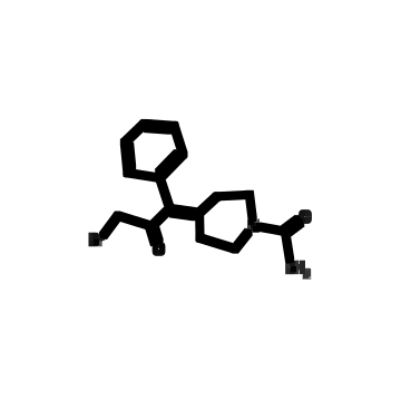 BC(=O)N1CCC(=C(C(=O)CBr)c2ccccc2)CC1